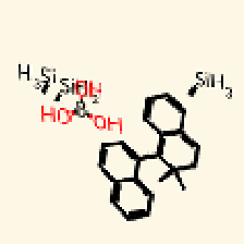 CC1(C)CC=c2ccccc2=C1c1cccc2ccccc12.C[SiH3].C[SiH3].C[SiH3].OB(O)O